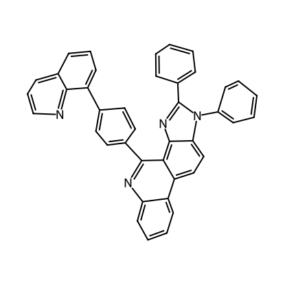 c1ccc(-c2nc3c4c(-c5ccc(-c6cccc7cccnc67)cc5)nc5ccccc5c4ccc3n2-c2ccccc2)cc1